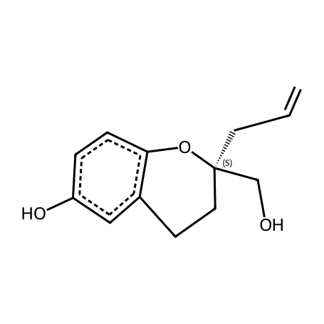 C=CC[C@]1(CO)CCc2cc(O)ccc2O1